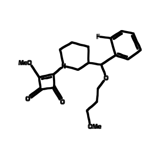 COCCCOC(c1ccccc1F)C1CCCN(c2c(OC)c(=O)c2=O)C1